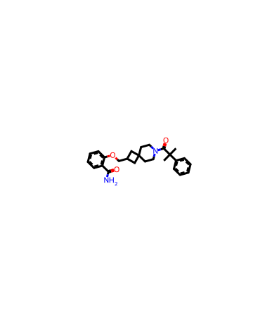 CC(C)(C(=O)N1CCC2(CC1)CC(COc1ccccc1C(N)=O)C2)c1ccccc1